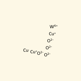 [Cu+].[Cu+].[Cu].[O-2].[O-2].[O-2].[O-2].[W+6]